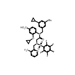 CC(C)(C)c1cc(CN(C(=O)CN(Cc2ncccc2C(F)(F)F)S(=O)(=O)c2c(F)c(F)c(F)c(F)c2F)c2ccc(C(=O)O)cc2OC2CC2)cc(C2CC2)c1